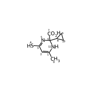 CC1=CC(S)=NC(C(=O)O)(C2CC2)N1